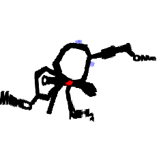 C=C1/C=C(C#CCOC)\C=C/CCC2(CCC(OC)CC2)C12N=C(N)N(C)C2=O